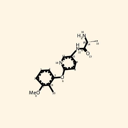 COc1cccc(Oc2ccc(NC(=O)[C@@H](C)N)cn2)c1C